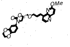 COc1ccc2nccc(C=CCOC[C@@H]3CN(c4ccc5c(c4)OCCO5)C(=O)O3)c2n1